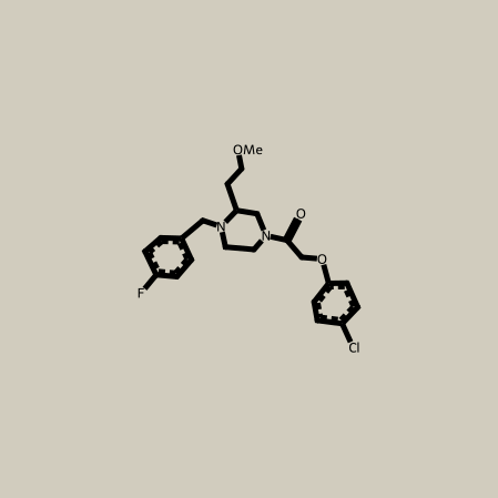 COCCC1CN(C(=O)COc2ccc(Cl)cc2)CCN1Cc1ccc(F)cc1